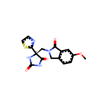 COc1ccc2c(c1)C(=O)N(C[C@]1(c3nccs3)NC(=O)NC1=O)C2